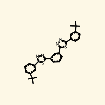 CC(C)(C)c1cccc(-c2nnc(-c3cccc(-c4nnc(-c5cccc(C(C)(C)C)c5)s4)c3)s2)c1